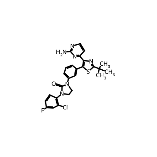 CC(C)(C)c1nc(-c2ccnc(N)n2)c(-c2cccc(N3CCN(c4ccc(F)cc4Cl)C3=O)c2)s1